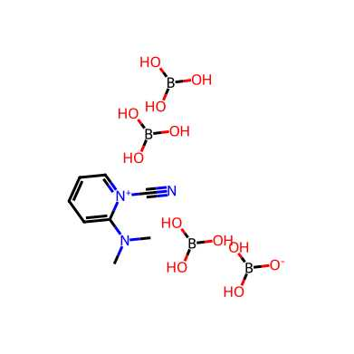 CN(C)c1cccc[n+]1C#N.OB(O)O.OB(O)O.OB(O)O.[O-]B(O)O